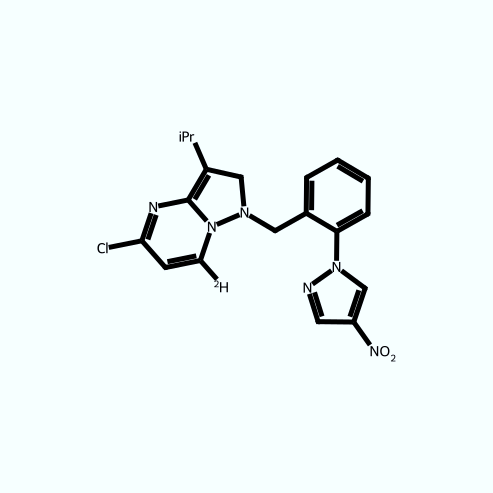 [2H]C1=CC(Cl)=NC2=C(C(C)C)CN(Cc3ccccc3-n3cc([N+](=O)[O-])cn3)N12